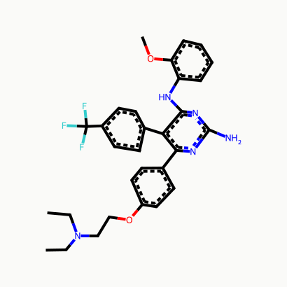 CCN(CC)CCOc1ccc(-c2nc(N)nc(Nc3ccccc3OC)c2-c2ccc(C(F)(F)F)cc2)cc1